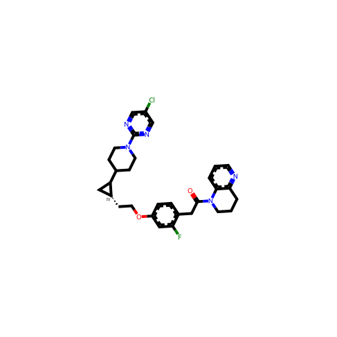 O=C(Cc1ccc(OCC[C@@H]2CC2C2CCN(c3ncc(Cl)cn3)CC2)cc1F)N1CCCc2ncccc21